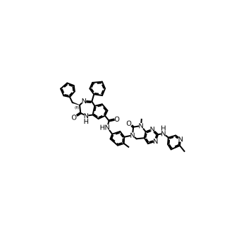 Cc1ccc(Nc2ncc3c(n2)N(C)C(=O)N(c2cc(NC(=O)c4ccc5c(c4)NC(=O)[C@@H](Cc4ccccc4)N=C5c4ccccc4)ccc2C)C3)cn1